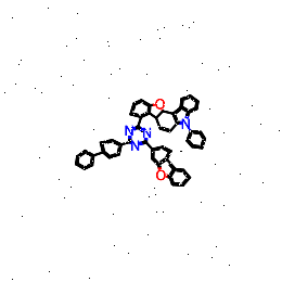 C1=CC2c3c(cccc3-c3nc(-c4ccc(-c5ccccc5)cc4)nc(-c4ccc5c(c4)oc4ccccc45)n3)OC2c2c1n(-c1ccccc1)c1ccccc21